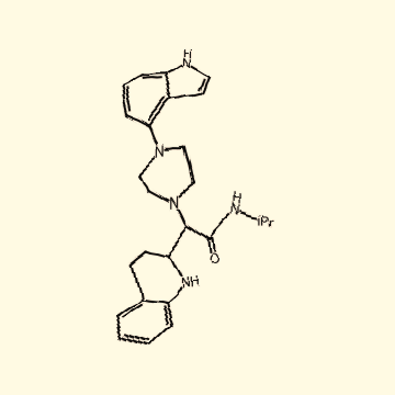 CC(C)NC(=O)C(C1CCc2ccccc2N1)N1CCN(c2cccc3[nH]ccc23)CC1